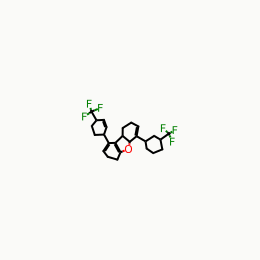 FC(F)(F)C1C=CC(C2=CCCC3=C2C2CCC=C(C4CCCC(C(F)(F)F)C4)C2O3)CC1